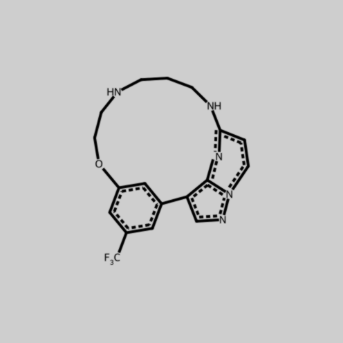 FC(F)(F)c1cc2cc(c1)-c1cnn3ccc(nc13)NCCCNCCO2